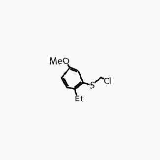 CCc1ccc(OC)cc1SCCl